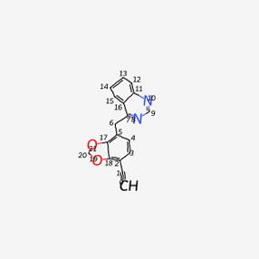 C#Cc1ccc(Cc2ncnc3ccccc23)c2c1OCO2